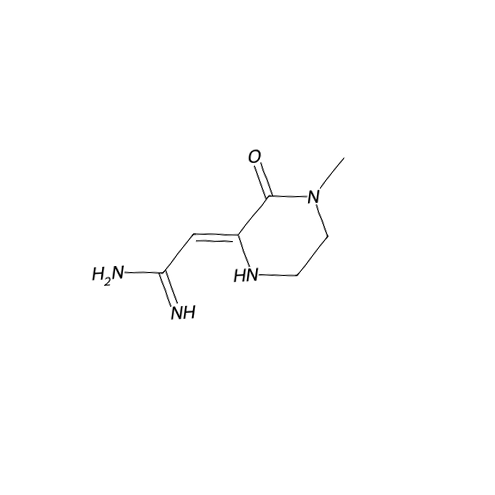 CN1CCN/C(=C\C(=N)N)C1=O